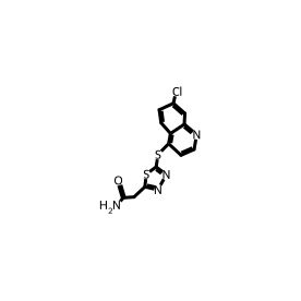 NC(=O)Cc1nnc(Sc2ccnc3cc(Cl)ccc23)s1